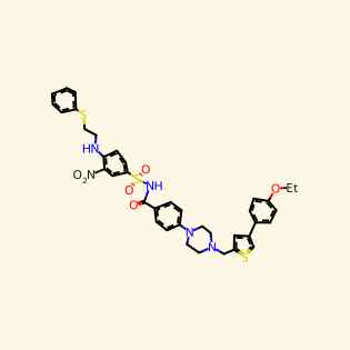 CCOc1ccc(-c2csc(CN3CCN(c4ccc(C(=O)NS(=O)(=O)c5ccc(NCCSc6ccccc6)c([N+](=O)[O-])c5)cc4)CC3)c2)cc1